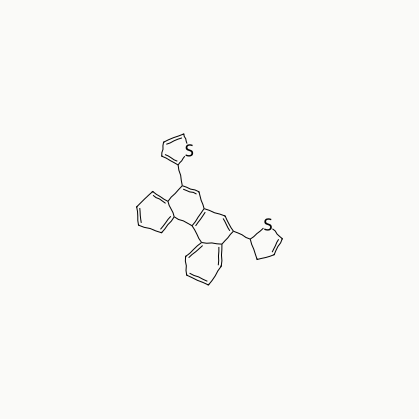 C1=CSC(c2cc3cc(-c4cccs4)c4ccccc4c3c3ccccc23)C1